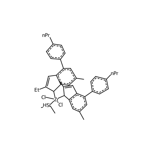 CCCc1ccc(-c2cc(C)cc3c2C=C(C)[CH]3[Zr]([Cl])([Cl])([CH]2C(CC)=Cc3c(-c4ccc(CCC)cc4)cc(C)cc32)[SiH](C)C)cc1